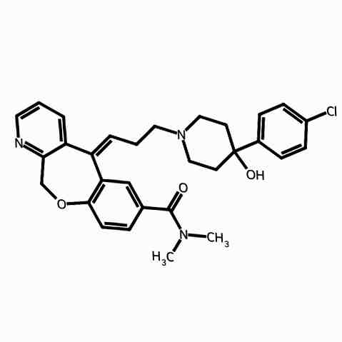 CN(C)C(=O)c1ccc2c(c1)C(=CCCN1CCC(O)(c3ccc(Cl)cc3)CC1)c1cccnc1CO2